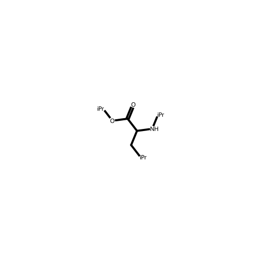 CC(C)CC(NC(C)C)C(=O)OC(C)C